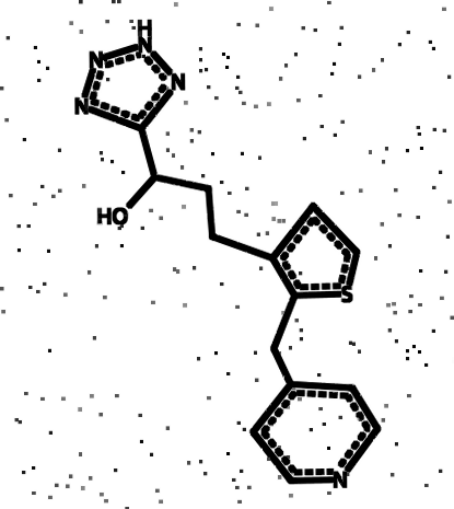 OC(CCc1ccsc1Cc1ccncc1)c1nn[nH]n1